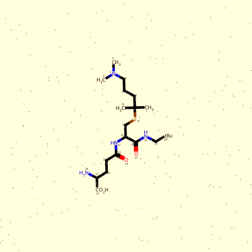 CN(C)CCCC(C)(C)SCC(NC(=O)CCC(N)C(=O)O)C(=O)NCC(C)(C)C